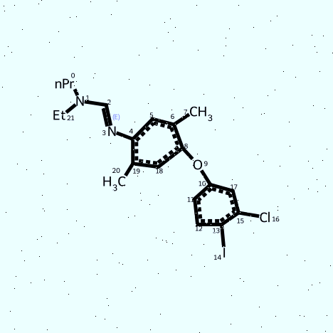 CCCN(/C=N/c1cc(C)c(Oc2ccc(I)c(Cl)c2)cc1C)CC